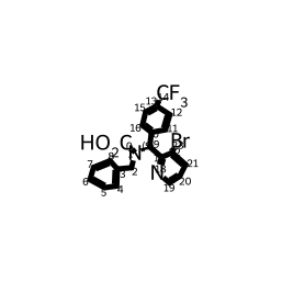 O=C(O)N(Cc1ccccc1)[C@@H](c1ccc(C(F)(F)F)cc1)c1ncccc1Br